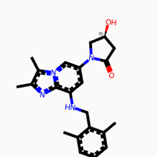 Cc1cccc(C)c1CNc1cc(N2C[C@@H](O)CC2=O)cn2c(C)c(C)nc12